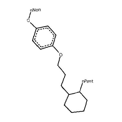 CCCCCCCCCOc1ccc(OCCCC2CCCCC2CCCCC)cc1